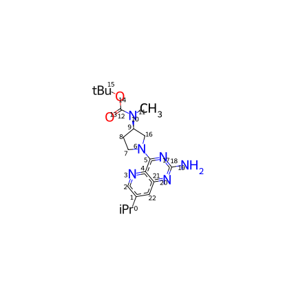 CC(C)c1cnc2c(N3CC[C@@H](N(C)C(=O)OC(C)(C)C)C3)nc(N)nc2c1